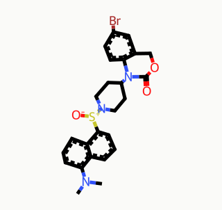 CN(C)c1cccc2c([S+]([O-])N3CCC(N4C(=O)OCc5cc(Br)ccc54)CC3)cccc12